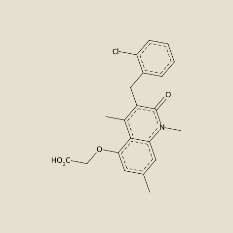 Cc1cc(OCC(=O)O)c2c(C)c(Cc3ccccc3Cl)c(=O)n(C)c2c1